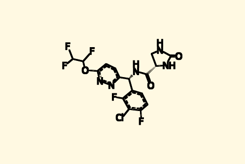 O=C1NC[C@@H](C(=O)N[C@@H](c2ccc(OC(F)C(F)F)nn2)c2ccc(F)c(Cl)c2F)N1